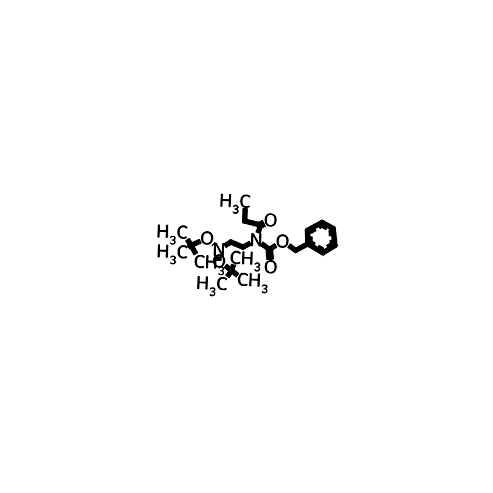 CCC(=O)N(CCN(OC(C)(C)C)OC(C)(C)C)C(=O)OCc1ccccc1